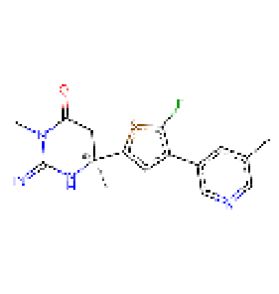 Cc1cncc(-c2cc([C@]3(C)CC(=O)N(C)C(=N)N3)sc2F)c1